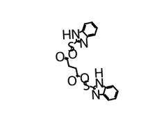 O=C(CCC(=O)OSc1nc2ccccc2[nH]1)OSc1nc2ccccc2[nH]1